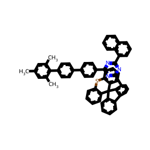 Cc1cc(C)c(-c2ccc(-c3ccc(-c4nc(-c5cccc6c5C5(c7ccccc7Sc7ccccc75)c5ccccc5-6)nc(-c5cccc6ccccc56)n4)cc3)cc2)c(C)c1